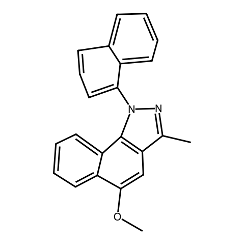 COc1cc2c(C)nn(-c3cccc4ccccc34)c2c2ccccc12